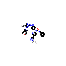 Cn1cc(-c2ccc(N(C(=O)NCc3ccccc3)[C@H]3CC[C@H](Nc4ncc(C#N)c(N5CC6(CCOCC6)C5)n4)CC3)nc2)cn1